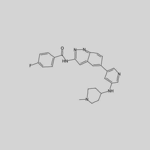 CN1CCC(Nc2cncc(-c3ccc4nnc(NC(=O)c5ccc(F)cc5)cc4c3)c2)CC1